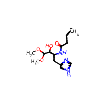 CCCC(=O)NC(Cc1c[nH]cn1)C(O)C(OC)OC